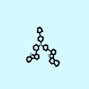 c1ccc(-c2ccc(N(c3ccc(-c4cccc5c4sc4ccc6ccccc6c45)cc3)c3cccc(-c4cccc5c4sc4ccccc45)c3)cc2)cc1